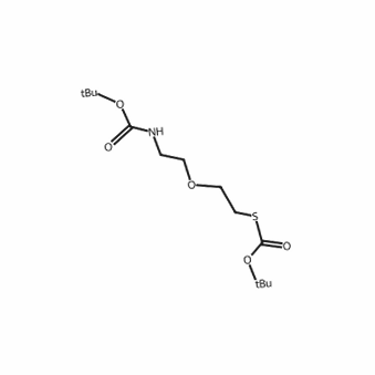 CC(C)(C)OC(=O)NCCOCCSC(=O)OC(C)(C)C